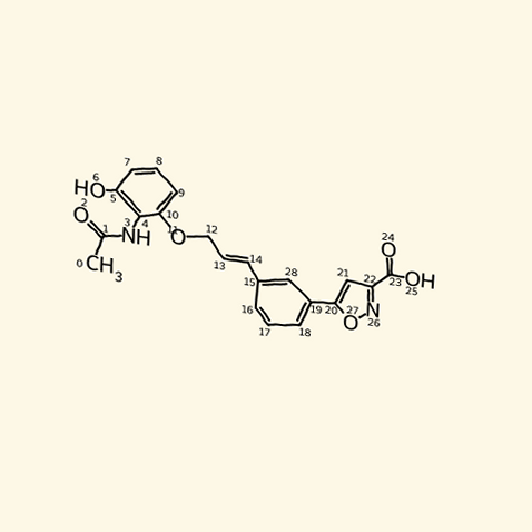 CC(=O)Nc1c(O)cccc1OCC=Cc1cccc(-c2cc(C(=O)O)no2)c1